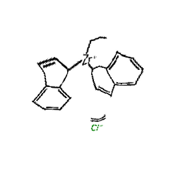 C=C.C[CH2][Zr+]([CH]1C=Cc2ccccc21)[CH]1C=Cc2ccccc21.[Cl-]